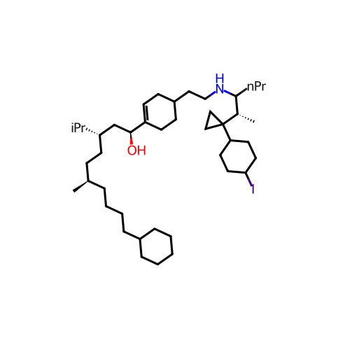 CCCC(NCCC1CC=C([C@@H](O)C[C@H](CC[C@H](C)CCCCC2CCCCC2)C(C)C)CC1)[C@H](C)C1(C2CCC(I)CC2)CC1